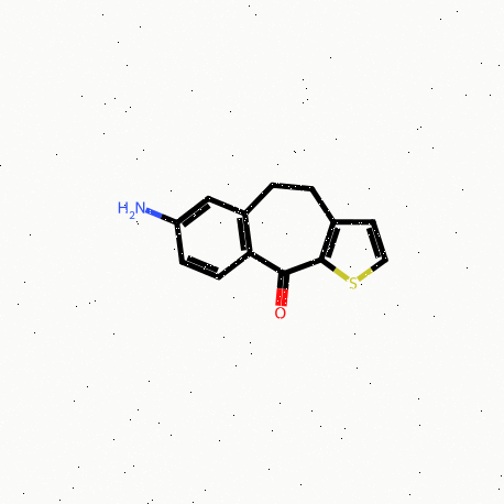 Nc1ccc2c(c1)CCc1ccsc1C2=O